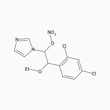 CCO[C](c1ccc(Cl)cc1Cl)C(O[N+](=O)[O-])n1ccnc1